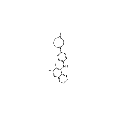 Cc1nc2ccccc2c(Nc2ccc(N3CCCN(C)CC3)cc2)c1C